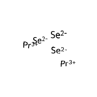 [Pr+3].[Pr+3].[Se-2].[Se-2].[Se-2]